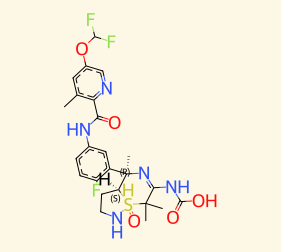 Cc1cc(OC(F)F)cnc1C(=O)Nc1ccc(F)c([C@@]2(C)N=C(NC(=O)O)C(C)(C)[SH]3(=O)NCC[C@@H]23)c1